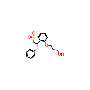 O=S1(=O)CC(Sc2ccccc2)c2c(OCCCO)cccc21